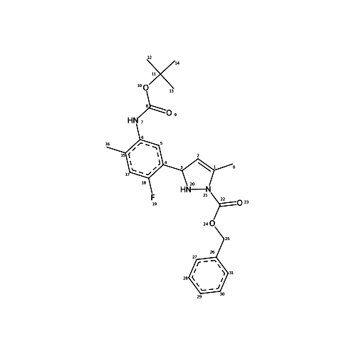 CC1=CC(c2cc(NC(=O)OC(C)(C)C)c(C)cc2F)NN1C(=O)OCc1ccccc1